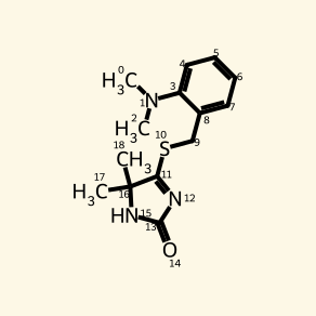 CN(C)c1ccccc1CSC1=NC(=O)NC1(C)C